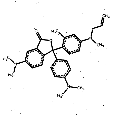 C=CCN(C)c1ccc(C2(c3ccc(N(C)C)cc3)OC(=O)c3cc(N(C)C)ccc32)c(C)c1